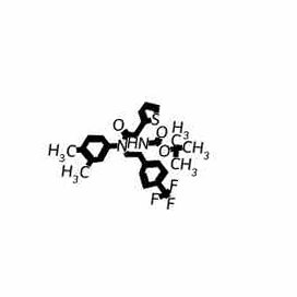 Cc1ccc(N(CCc2ccc(C(F)(F)F)cc2)C(=O)C(NC(=O)OC(C)(C)C)c2cccs2)cc1C